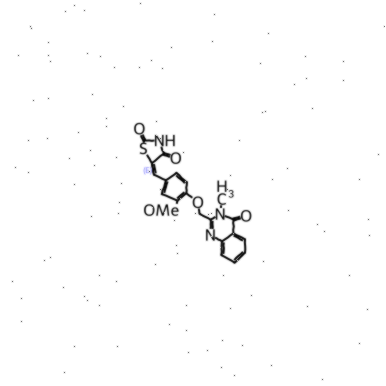 COc1cc(/C=C2/SC(=O)NC2=O)ccc1OCc1nc2ccccc2c(=O)n1C